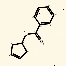 O=C(OC1CC=CC1)c1ccccc1